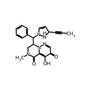 CC#CC1C=CN(C(c2ccccc2)C2CN(C)C(=O)c3c(O)c(=O)cnn32)N1